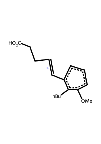 CCCCc1c(/C=C/CCC(=O)O)cccc1OC